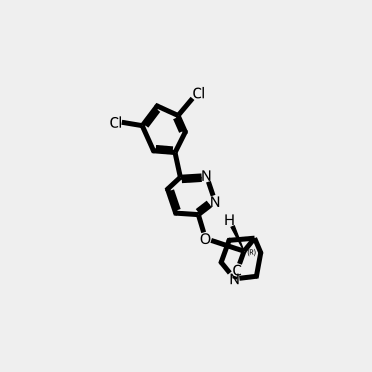 Clc1cc(Cl)cc(-c2ccc(O[C@H]3CN4CCC3CC4)nn2)c1